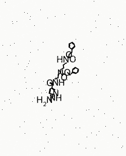 NNc1ccc(C(=O)NCCCN(CCCCNC(=O)OCc2ccccc2)C(=O)OCc2ccccc2)cn1